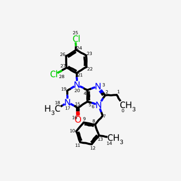 CCc1nc2c(n1Cc1ccccc1C)C(=O)N(C)CN2c1ccc(Cl)cc1Cl